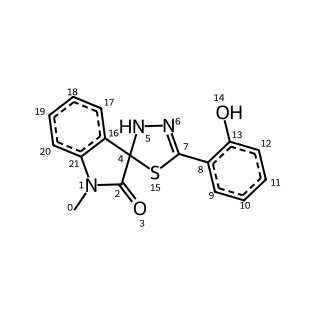 CN1C(=O)C2(NN=C(c3ccccc3O)S2)c2ccccc21